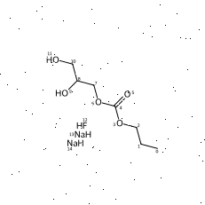 CCCOC(=O)OCC(O)CO.F.[NaH].[NaH]